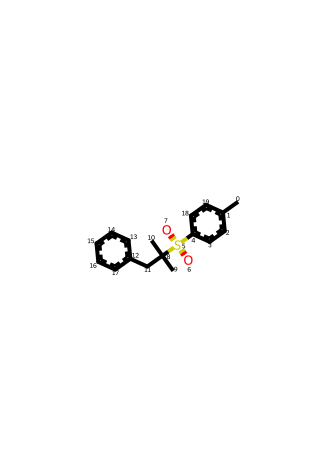 Cc1ccc(S(=O)(=O)C(C)(C)Cc2ccccc2)cc1